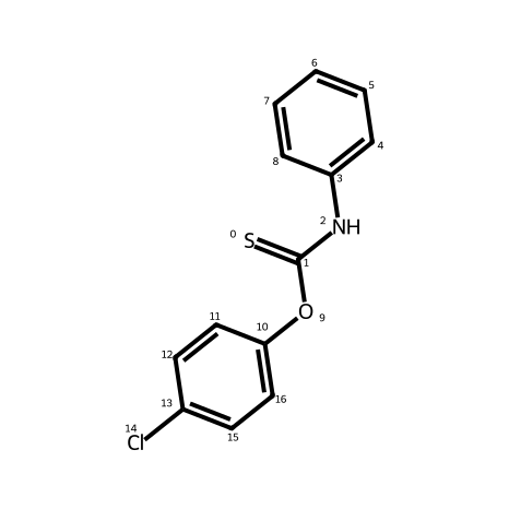 S=C(Nc1ccccc1)Oc1ccc(Cl)cc1